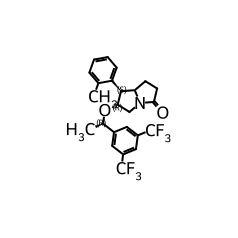 Cc1ccccc1[C@H]1C2CCC(=O)N2C[C@@H]1O[C@H](C)c1cc(C(F)(F)F)cc(C(F)(F)F)c1